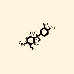 CCC(C)(c1ccc(O)c(C)c1)c1ccc(N=O)c(C)c1